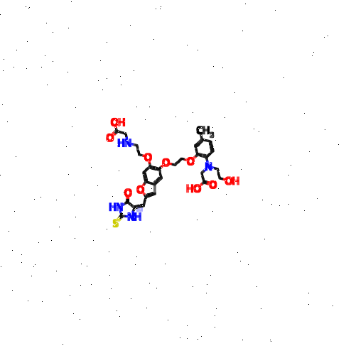 Cc1ccc(N(CCO)CC(=O)O)c(OCCOc2cc3cc(/C=C4/NC(=S)NC4=O)oc3cc2OCCNCC(=O)O)c1